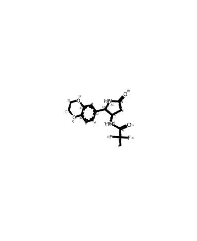 CC(F)(F)C(=O)NC1CC(=O)NC1c1ccc2c(c1)OCCO2